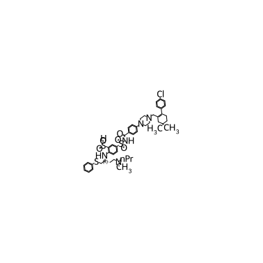 CCCN(C)CC[C@H](CSc1ccccc1)Nc1ccc(S(=O)(=O)NC(=O)c2ccc(N3CCN(CC4=C(c5ccc(Cl)cc5)CCC(C)(C)C4)CC3)cc2)cc1[SH](=O)=O